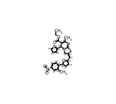 CCOC(=O)C1=C(C)N=C2S/C(=C/c3ccc(-c4ccc([N+](=O)[O-])cc4C)o3)CN2C1c1cccs1